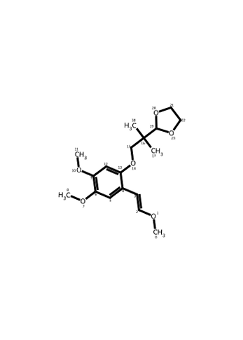 COC=Cc1cc(OC)c(OC)cc1OCC(C)(C)C1OCCO1